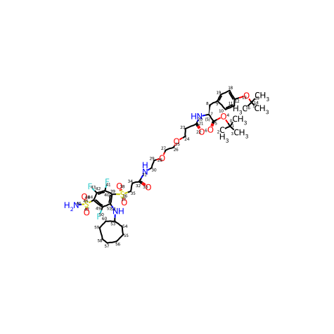 CC(C)(C)OC(=O)[C@H](Cc1ccc(OC(C)(C)C)cc1)NC(=O)CCOCCOCCNC(=O)CCS(=O)(=O)c1c(F)c(F)c(S(N)(=O)=O)c(F)c1NC1CCCCCCC1